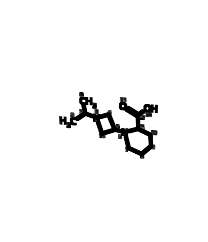 CC(C)N1CC(N2CCCCC2C(=O)O)C1